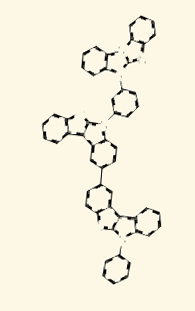 c1ccc(-n2c3ccccc3c3c4cc(-c5ccc6c(c5)c5c7ccccc7oc5n6-c5cccc(-n6c7ccccc7n7c8ccccc8nc67)c5)ccc4sc32)cc1